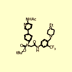 CCN1CCN(Cc2ccc(NC(=O)CN(C(=O)OC(C)(C)C)c3ccc(-c4ccc(NC(C)=O)nc4)cc3)cc2C(F)(F)F)CC1